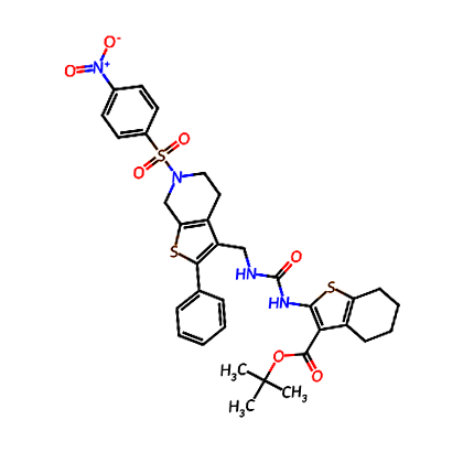 CC(C)(C)OC(=O)c1c(NC(=O)NCc2c(-c3ccccc3)sc3c2CCN(S(=O)(=O)c2ccc([N+](=O)[O-])cc2)C3)sc2c1CCCC2